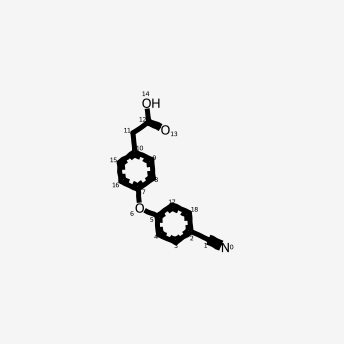 N#Cc1ccc(Oc2ccc(CC(=O)O)cc2)cc1